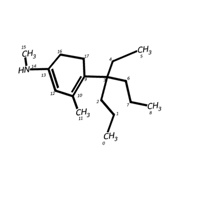 CCCC(CC)(CCC)C1=C(C)C=C(NC)CC1